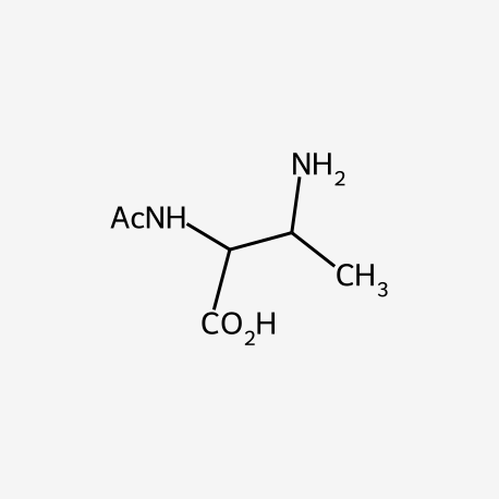 CC(=O)NC(C(=O)O)C(C)N